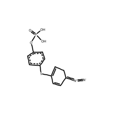 [N-]=[N+]=C1C=CC(Sc2ccc(OP(=O)(O)O)cc2)=CC1